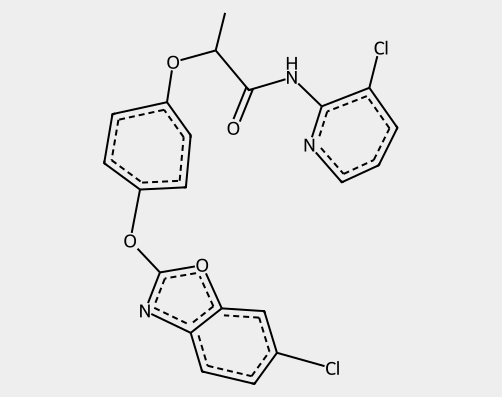 CC(Oc1ccc(Oc2nc3ccc(Cl)cc3o2)cc1)C(=O)Nc1ncccc1Cl